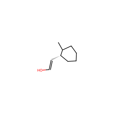 CC1CCCC[C@@H]1/C=C/O